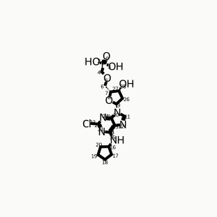 O=P(O)(O)COC[C@H]1O[C@@H](n2cnc3c(NC4CCCC4)nc(Cl)nc32)C[C@@H]1O